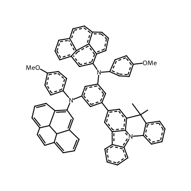 COc1ccc(N(C2=C3C=CC=C4C=CC5=CC=CC(=C2)C5C43)c2cc(-c3cc4c5c(c3)c3ccccc3n5-c3ccccc3C4(C)C)cc(N(c3ccc(OC)cc3)c3cc4cccc5ccc6cccc3c6c54)c2)cc1